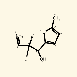 C=CC(F)(F)C(O)c1ccc(C)o1